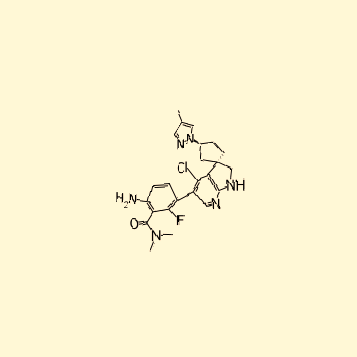 Cc1cnn([C@H]2CC[C@@]3(CNc4ncc(-c5ccc(N)c(C(=O)N(C)C)c5F)c(Cl)c43)C2)c1